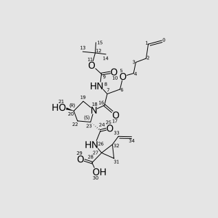 C=CCCCOCC(NC(=O)OC(C)(C)C)C(=O)N1C[C@H](O)C[C@H]1C(=O)NC1(C(=O)O)CC1C=C